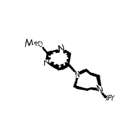 COc1ncc(N2CCN(C(C)C)CC2)cn1